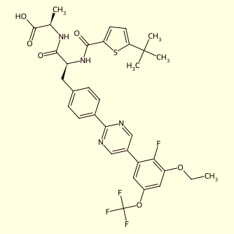 CCOc1cc(OC(F)(F)F)cc(-c2cnc(-c3ccc(C[C@H](NC(=O)c4ccc(C(C)(C)C)s4)C(=O)N[C@H](C)C(=O)O)cc3)nc2)c1F